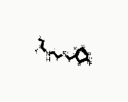 CC[C@@H](C)NCCSCc1cccc(F)c1